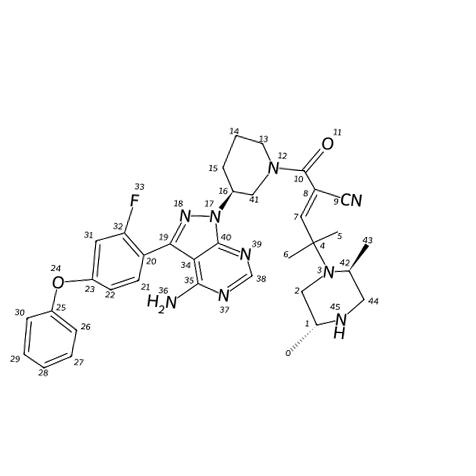 C[C@@H]1CN(C(C)(C)C=C(C#N)C(=O)N2CCC[C@H](n3nc(-c4ccc(Oc5ccccc5)cc4F)c4c(N)ncnc43)C2)[C@@H](C)CN1